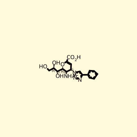 CC(=O)N[C@H]1[C@H]([C@H](O)[C@H](O)CO)OC(C(=O)O)=C[C@@H]1n1cc(-c2ccccc2)nn1